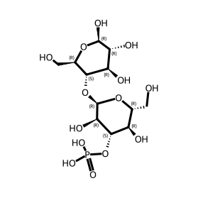 O=P(O)(O)O[C@@H]1[C@@H](O)[C@@H](O[C@H]2[C@H](O)[C@@H](O)[C@H](O)O[C@@H]2CO)O[C@H](CO)[C@H]1O